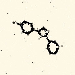 Oc1ccc(-c2cnc(-c3cccnc3)o2)cc1